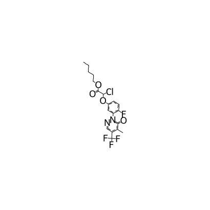 CCCCCOC(=O)C(Cl)Oc1ccc(F)c(-n2ncc(C(F)(F)F)c(C)c2=O)c1